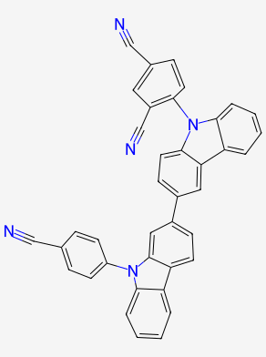 N#Cc1ccc(-n2c3ccccc3c3ccc(-c4ccc5c(c4)c4ccccc4n5-c4ccc(C#N)cc4C#N)cc32)cc1